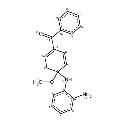 COC1(Nc2ccccc2N)C=CC(C(=O)c2ccccc2)=CC1